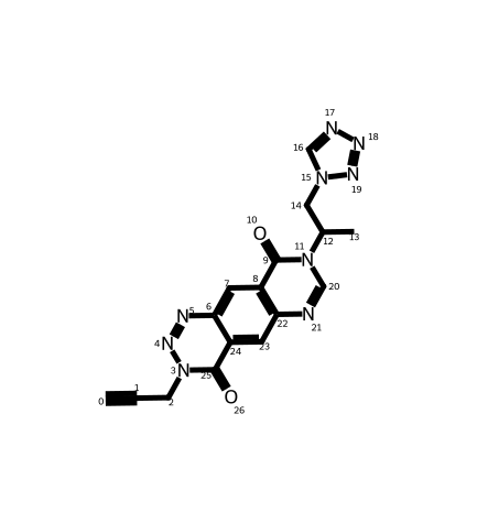 C#CCn1nnc2cc3c(=O)n(C(C)Cn4cnnn4)cnc3cc2c1=O